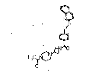 O=C(c1ccc(OCc2ccc3ccccc3n2)cc1)N1CC(N2CCN(C(=O)C(F)(F)F)CC2)C1